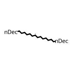 CCCCCCCCCCCCCCCC[CH]CCCCCCCCCCCCCCCCC